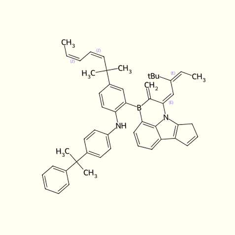 C=C1B(c2cc(C(C)(C)/C=C\C=C/C)ccc2Nc2ccc(C(C)(C)c3ccccc3)cc2)c2cccc3c4c(n(c23)/C1=C/C(=C\C)C(C)(C)C)CC=C4